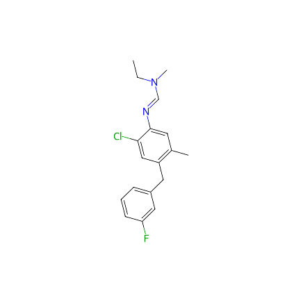 CCN(C)C=Nc1cc(C)c(Cc2cccc(F)c2)cc1Cl